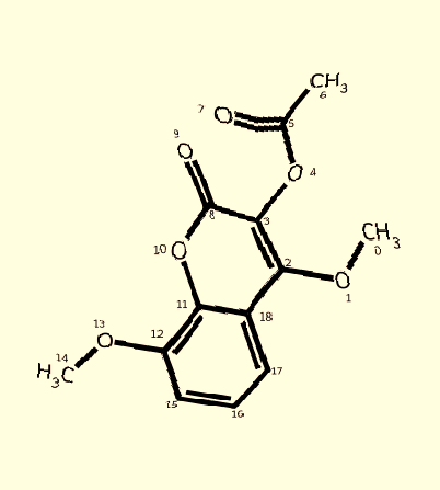 COc1c(OC(C)=O)c(=O)oc2c(OC)cccc12